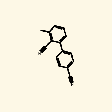 Cc1cccc(-c2ccc(C#N)cc2)c1C#N